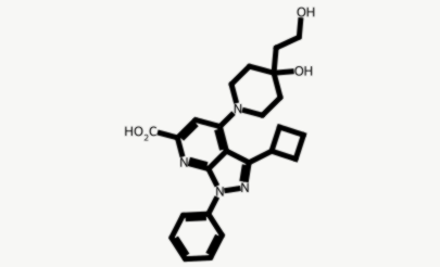 O=C(O)c1cc(N2CCC(O)(CCO)CC2)c2c(C3CCC3)nn(-c3ccccc3)c2n1